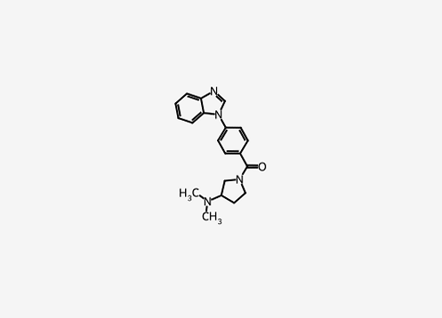 CN(C)C1CCN(C(=O)c2ccc(-n3cnc4ccccc43)cc2)C1